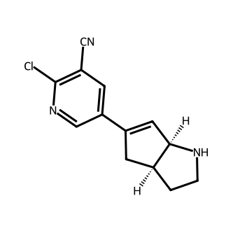 N#Cc1cc(C2=C[C@H]3NCC[C@H]3C2)cnc1Cl